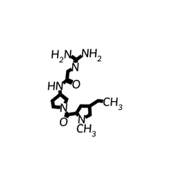 CCC1CC(C(=O)N2CCC(NC(=O)CN=C(N)N)C2)N(C)C1